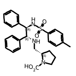 Cc1ccc(S(=O)(=O)N[C@H](c2ccccc2)[C@H](NC[C@@H]2CCCN2C(=O)O)c2ccccc2)cc1